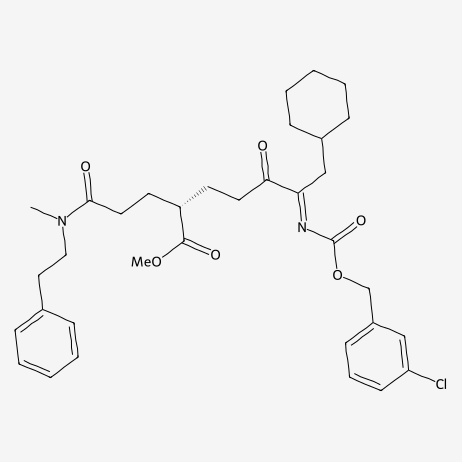 COC(=O)[C@@H](CCC(=O)/C(CC1CCCCC1)=N/C(=O)OCc1cccc(Cl)c1)CCC(=O)N(C)CCc1ccccc1